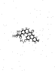 Cc1ccc(/C(=C\c2cccc(F)c2)C(=O)N2CCc3ccc(C(=O)NO)cc3C2)cc1